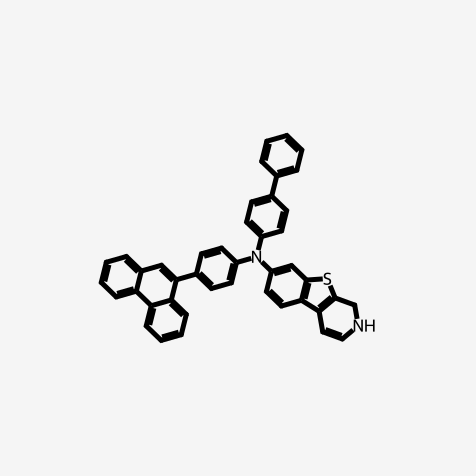 C1=Cc2c(sc3cc(N(c4ccc(-c5ccccc5)cc4)c4ccc(-c5cc6ccccc6c6ccccc56)cc4)ccc23)CN1